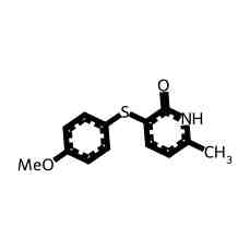 COc1ccc(Sc2ccc(C)[nH]c2=O)cc1